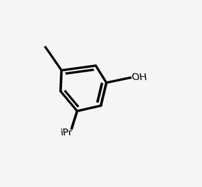 Cc1cc(O)cc(C(C)C)c1